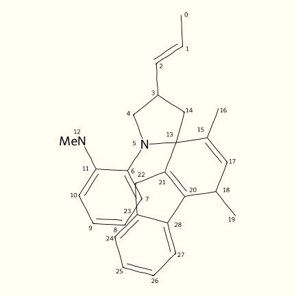 CC=CC1CN(c2ccccc2NC)C2(C1)C(C)=CC(C)C1=C2Cc2ccccc21